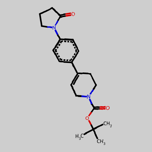 CC(C)(C)OC(=O)N1CC=C(c2ccc(N3CCCC3=O)cc2)CC1